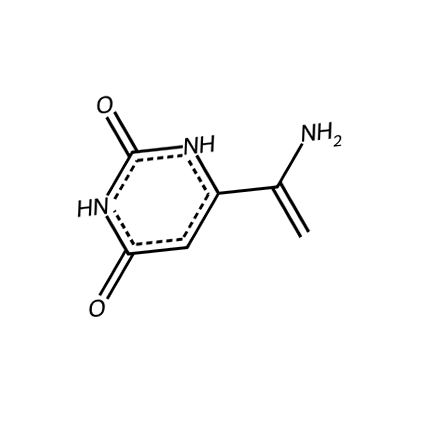 C=C(N)c1cc(=O)[nH]c(=O)[nH]1